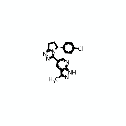 Cc1n[nH]c2ncc(-c3nnc4n3[C@@H](c3ccc(Cl)cc3)CC4)cc12